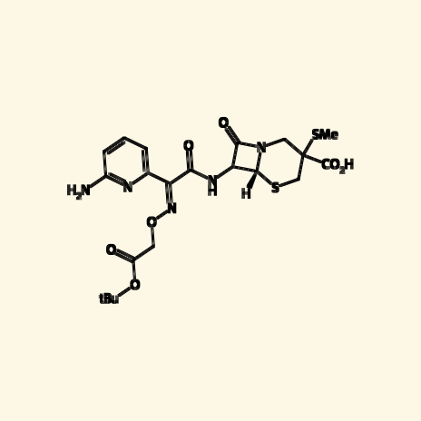 CSC1(C(=O)O)CS[C@@H]2C(NC(=O)C(=NOCC(=O)OC(C)(C)C)c3cccc(N)n3)C(=O)N2C1